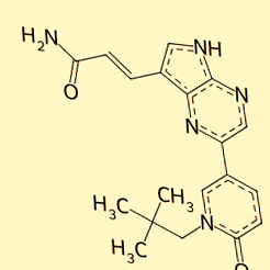 CC(C)(C)Cn1cc(-c2cnc3[nH]cc(C=CC(N)=O)c3n2)ccc1=O